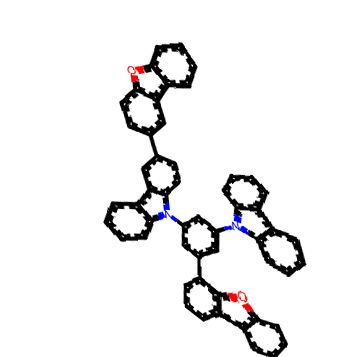 c1ccc2c(c1)oc1ccc(-c3ccc4c(c3)c3ccccc3n4-c3cc(-c4cccc5c4oc4ccccc45)cc(-n4c5ccccc5c5ccccc54)c3)cc12